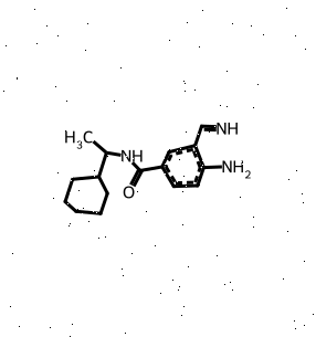 CC(NC(=O)c1ccc(N)c(C=N)c1)C1CCCCC1